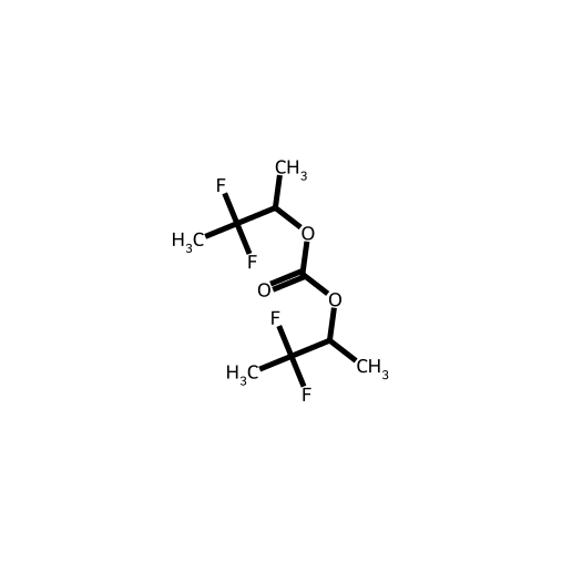 CC(OC(=O)OC(C)C(C)(F)F)C(C)(F)F